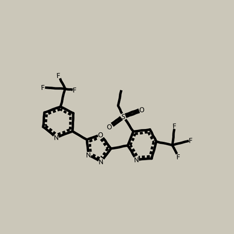 CCS(=O)(=O)c1cc(C(F)(F)F)cnc1-c1nnc(-c2cc(C(F)(F)F)ccn2)o1